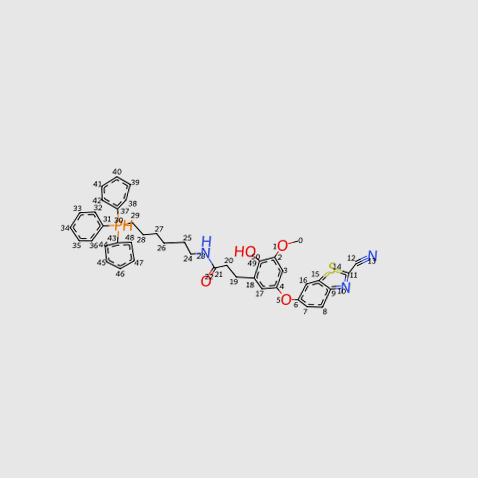 COc1cc(Oc2ccc3nc(C#N)sc3c2)cc(CCC(=O)NCCCCCC[PH](c2ccccc2)(c2ccccc2)c2ccccc2)c1O